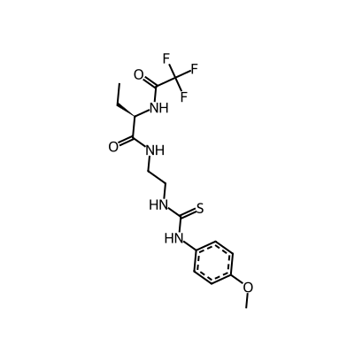 CC[C@@H](NC(=O)C(F)(F)F)C(=O)NCCNC(=S)Nc1ccc(OC)cc1